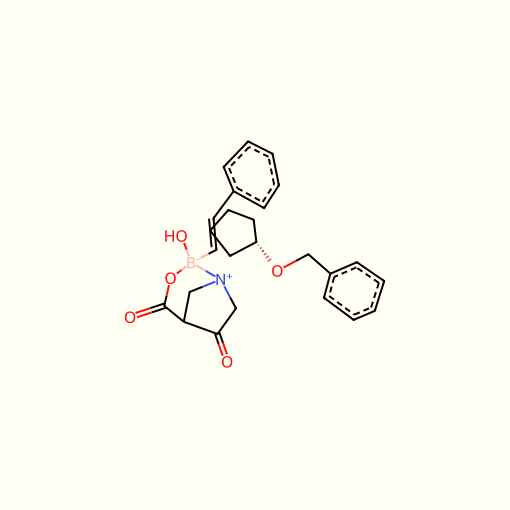 O=C1C[N@+]2(C3CCC[C@@H]3OCc3ccccc3)CC1C(=O)O[B-]2(O)/C=C/c1ccccc1